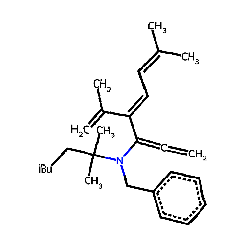 C=C=C(/C(=C/C=C(C)C)C(=C)C)N(Cc1ccccc1)C(C)(C)CC(C)CC